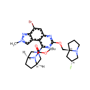 Cn1cc2c(n1)c(Br)cc1nc(OC[C@@]34CCCN3C[C@H](F)C4)nc(N3C[C@H]4CC[C@@H](C3)N4C(=O)OC(C)(C)C)c12